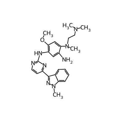 COc1cc(N(C)CCN(C)C)c(N)cc1Nc1nccc(-c2nn(C)c3ccccc23)n1